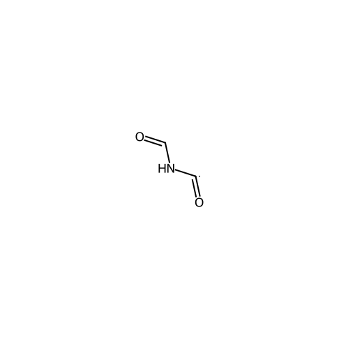 O=[C]NC=O